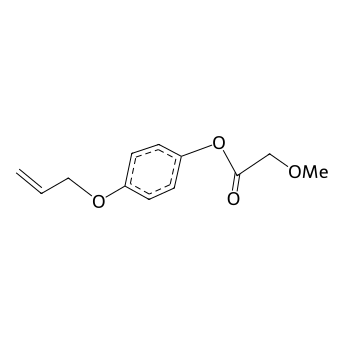 C=CCOc1ccc(OC(=O)COC)cc1